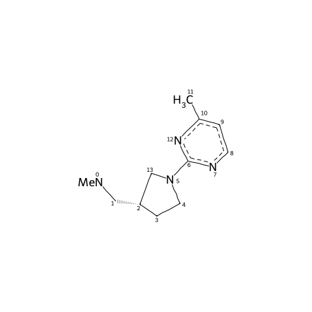 CNC[C@H]1CCN(c2nccc(C)n2)C1